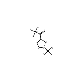 C=C(C1CCN(C(C)(C)C)C1)C(C)(C)C